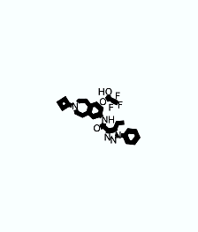 CCc1c(C(=O)Nc2ccc3c(c2)CCN(C2CCC2)CC3)nnn1-c1ccccc1.O=C(O)C(F)(F)F